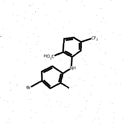 Cc1cc(Br)ccc1Nc1cc(C(F)(F)F)ccc1C(=O)O